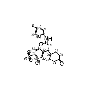 Cc1ccc(NC(=O)C[C@@H](c2ccc(S(C)(=O)=O)c(Cl)c2)C2CCC(=O)CC2)nc1